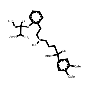 CCCCCCC(C#N)(CCCN(C)CCc1ccccc1OC(O[N+](=O)[O-])(C(C)C)C(C)NC(C)=O)c1ccc(OC)c(OC)c1